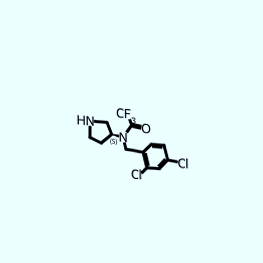 O=C(N(Cc1ccc(Cl)cc1Cl)[C@H]1CCNC1)C(F)(F)F